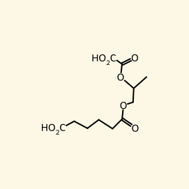 CC(COC(=O)CCCCC(=O)O)OC(=O)C(=O)O